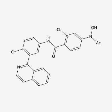 CC(=O)N(O)c1ccc(C(=O)Nc2ccc(Cl)c(-c3nccc4ccccc34)c2)c(Cl)c1